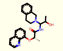 CC(O)C(NC(=O)[C@H](C)Oc1cccc2cccnc12)N1CCc2ccccc2C1